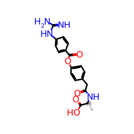 C[C@@H](NC(=O)Cc1ccc(OC(=O)c2ccc(NC(=N)N)cc2)cc1)C(=O)O